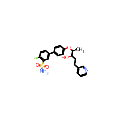 C[C@H](Oc1ccc(-c2ccc(F)c(S(N)(=O)=O)c2)cc1)[C@H](O)CCc1cccnc1